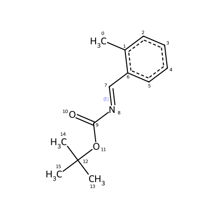 Cc1ccccc1/C=N/C(=O)OC(C)(C)C